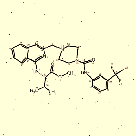 COC(=O)[C@@H](Nc1nc(CN2CCN(C(=O)Nc3cccc(C(F)(F)F)c3)CC2)nc2ccccc12)C(C)C